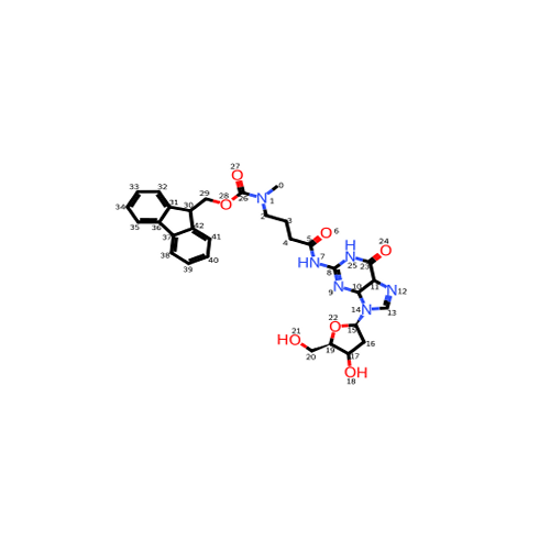 CN(CCCC(=O)NC1=NC2C(N=CN2[C@H]2CC(O)[C@@H](CO)O2)C(=O)N1)C(=O)OCC1c2ccccc2-c2ccccc21